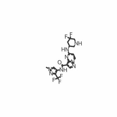 Cn1cc(NC(=O)c2cnn3ccc(NC4CNCC(F)(F)C4)nc23)c(C(F)(F)F)n1